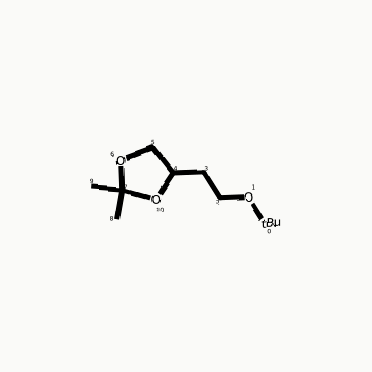 CC(C)(C)OCCC1COC(C)(C)O1